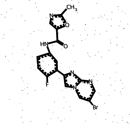 Cc1ncc(C(=O)Nc2ccc(F)c(-c3cn4cc(Br)cnc4n3)c2)o1